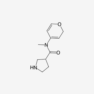 CN(C(=O)C1CCNC1)C1=CCOC=C1